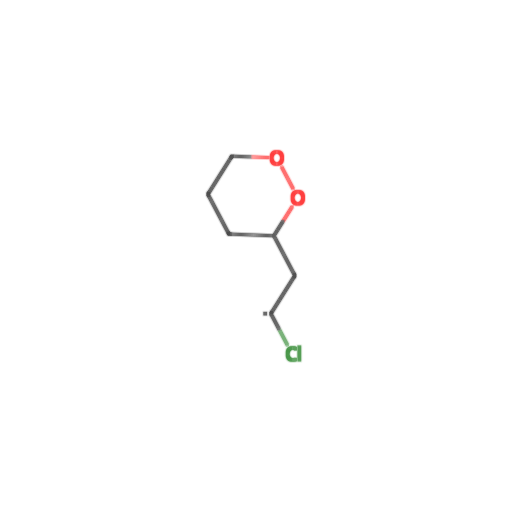 Cl[CH]CC1CCCOO1